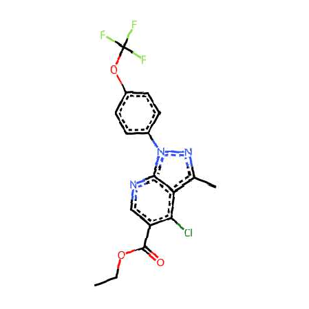 CCOC(=O)c1cnc2c(c(C)nn2-c2ccc(OC(F)(F)F)cc2)c1Cl